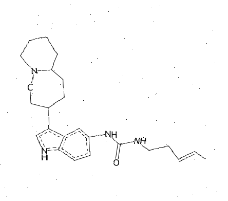 CC=CCCNC(=O)Nc1ccc2[nH]cc(C3CCC4CCCCN4CC3)c2c1